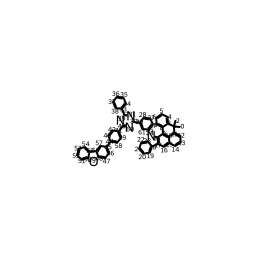 CC1(C)c2ccccc2-c2c3c1cccc3cc1c3ccccc3n(-c3cccc(-c4nc(-c5ccccc5)nc(-c5ccc(-c6ccc7oc8ccccc8c7c6)cc5)n4)c3)c21